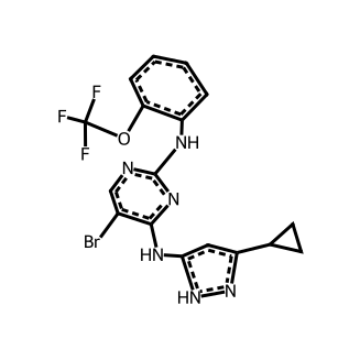 FC(F)(F)Oc1ccccc1Nc1ncc(Br)c(Nc2cc(C3CC3)n[nH]2)n1